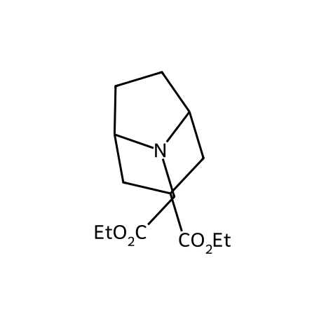 CCOC(=O)CN1C2CCC1CC(C(=O)OCC)C2